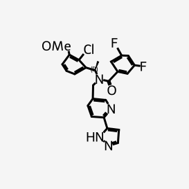 COc1cccc([C@@H](C)N(Cc2ccc(-c3ccn[nH]3)nc2)C(=O)c2cc(F)cc(F)c2)c1Cl